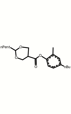 CCCCCC1OCC(C(=O)Oc2ccc(CCCC)cc2C)CO1